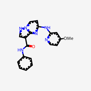 COc1ccnc(Nc2ccn3ncc(C(=O)Nc4ccccc4)c3n2)c1